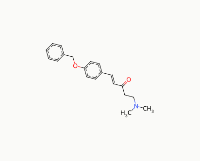 CN(C)CCC(=O)C=Cc1ccc(OCc2ccccc2)cc1